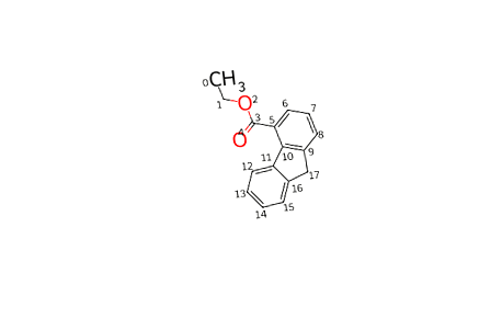 CCOC(=O)c1cccc2c1-c1ccccc1C2